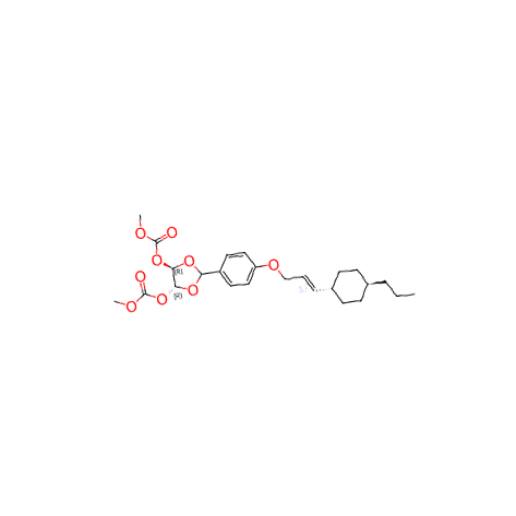 CCC[C@H]1CC[C@H](/C=C/COc2ccc(C3O[C@H](OC(=O)OC)[C@@H](OC(=O)OC)O3)cc2)CC1